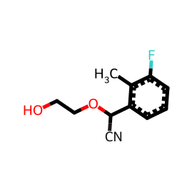 Cc1c(F)cccc1C(C#N)OCCO